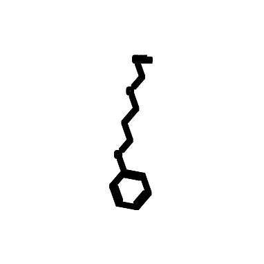 COCOCCCOc1ccccc1